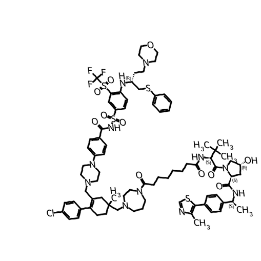 Cc1ncsc1-c1ccc([C@H](C)NC(=O)[C@@H]2C[C@@H](O)CN2C(=O)[C@@H](NC(=O)CCCCCCC(=O)N2CCCN(CC3(C)CCC(c4ccc(Cl)cc4)=C(CN4CCN(c5ccc(C(=O)NS(=O)(=O)c6ccc(N[C@H](CCN7CCOCC7)CSc7ccccc7)c(S(=O)(=O)C(F)(F)F)c6)cc5)CC4)C3)CC2)C(C)(C)C)cc1